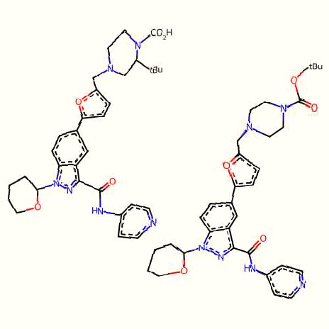 CC(C)(C)C1CN(Cc2ccc(-c3ccc4c(c3)c(C(=O)Nc3ccncc3)nn4C3CCCCO3)o2)CCN1C(=O)O.CC(C)(C)OC(=O)N1CCN(Cc2ccc(-c3ccc4c(c3)c(C(=O)Nc3ccncc3)nn4C3CCCCO3)o2)CC1